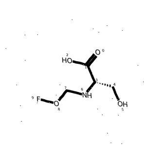 O=C(O)[C@H](CO)NCOF